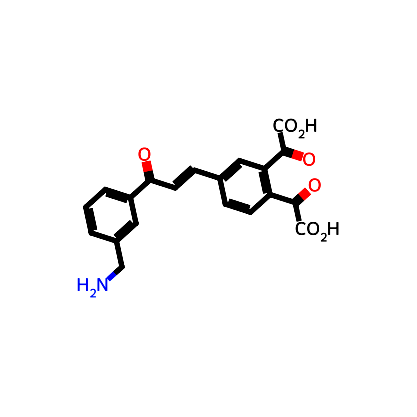 NCc1cccc(C(=O)/C=C/c2ccc(C(=O)C(=O)O)c(C(=O)C(=O)O)c2)c1